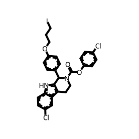 O=C(Oc1ccc(Cl)cc1)N1CCc2c([nH]c3ccc(Cl)cc23)C1c1ccc(OCCCI)cc1